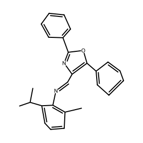 Cc1cccc(C(C)C)c1/N=C/c1nc(-c2ccccc2)oc1-c1ccccc1